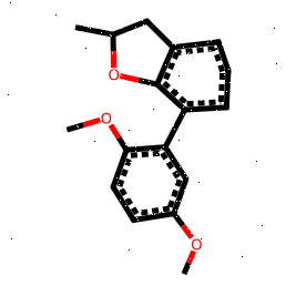 COc1ccc(OC)c(-c2cccc3c2OC(C)C3)c1